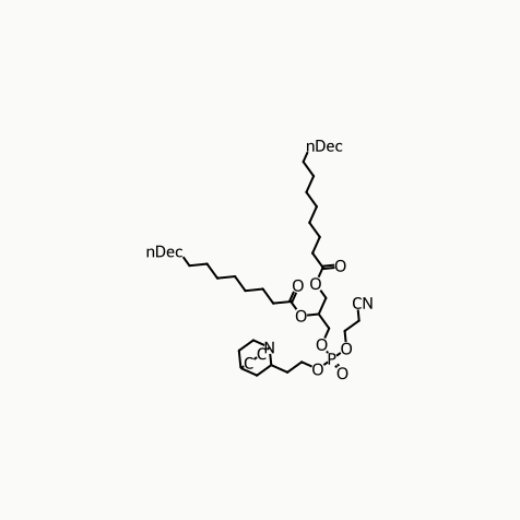 CCCCCCCCCCCCCCCCCC(=O)OCC(COP(=O)(OCCC#N)OCCC1CC2CCN1CC2)OC(=O)CCCCCCCCCCCCCCCCC